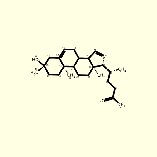 C[C@H](CCC(=O)C(F)(F)F)[C@H]1C=CC2C3CC=C4C[C@@](C)(O)CC[C@]4(C)C3CC[C@@]21C